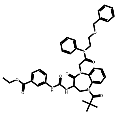 CCOC(=O)c1cccc(NC(=O)NC2CN(C(=O)C(C)(C)C)c3ccccc3N(CC(=O)N(CCOCc3ccccc3)c3ccccc3)C2=O)c1